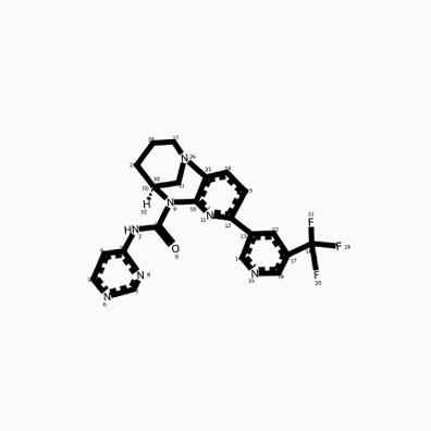 O=C(Nc1ccncn1)N1c2nc(-c3cncc(C(F)(F)F)c3)ccc2N2CCC[C@H]1C2